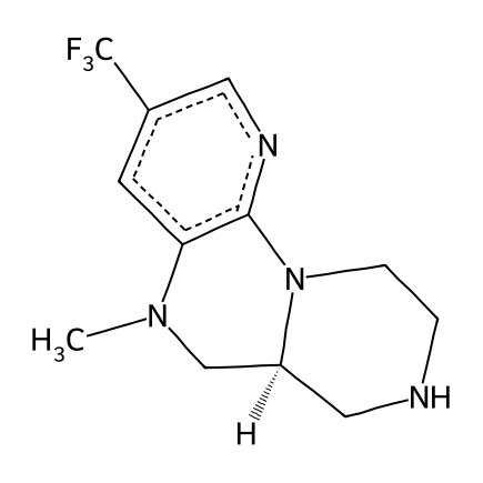 CN1C[C@@H]2CNCCN2c2ncc(C(F)(F)F)cc21